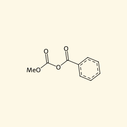 COC(=O)OC(=O)c1ccccc1